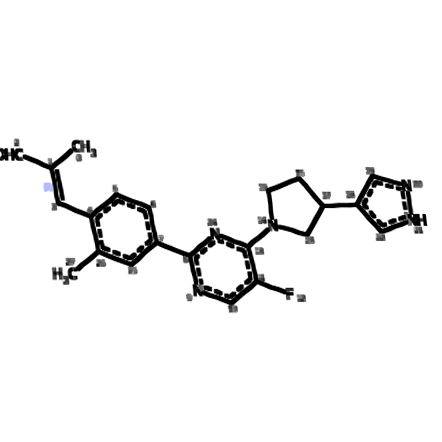 C/C(C=O)=C\c1ccc(-c2ncc(F)c(N3CCC(c4cn[nH]c4)C3)n2)cc1C